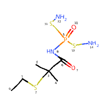 CCSC(C)(C)C(=O)NP(=O)(SN)SN